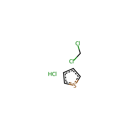 Cl.ClCCl.c1ccsc1